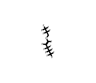 FC(OCC(F)(F)C(F)(F)F)=C(F)C(F)(F)C(F)(F)C(F)(F)F